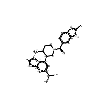 Cc1nc2ccc(C(=O)N3CCC(N)[C@H](c4cc(C(F)F)nc5ncnn45)C3)cc2o1